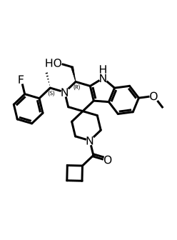 COc1ccc2c3c([nH]c2c1)[C@H](CO)N([C@@H](C)c1ccccc1F)CC31CCN(C(=O)C2CCC2)CC1